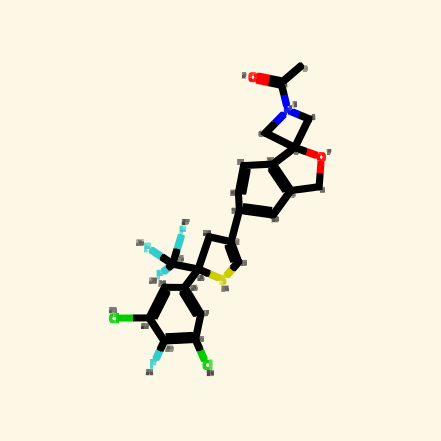 CC(=O)N1CC2(C1)OCc1cc(C3=CSC(c4cc(Cl)c(F)c(Cl)c4)(C(F)(F)F)C3)ccc12